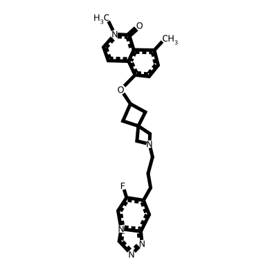 Cc1ccc(OC2CC3(C2)CN(CCCc2cc4nncn4cc2F)C3)c2ccn(C)c(=O)c12